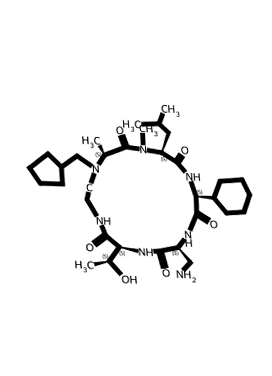 CC(C)C[C@H]1C(=O)N[C@@H](C2CCCCC2)C(=O)N[C@@H](CN)C(=O)N[C@@H]([C@H](C)O)C(=O)NCCN(CC2CCCC2)[C@@H](C)C(=O)N1C